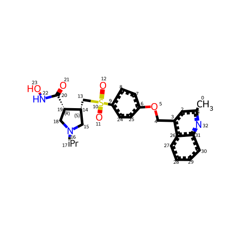 Cc1cc(COc2ccc(S(=O)(=O)C[C@@H]3CN(C(C)C)C[C@@H]3C(=O)NO)cc2)c2ccccc2n1